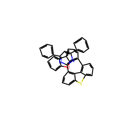 c1ccc(-c2cc(-c3ccccc3)nc(-c3cccc4sc5cccc(-c6cccc7c6oc6ccccc67)c5c34)n2)cc1